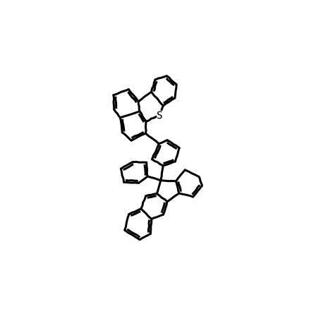 C1=CC2=C(CC1)C(c1ccccc1)(c1cccc(-c3ccc4cccc5c4c3Sc3ccccc3-5)c1)c1cc3ccccc3cc12